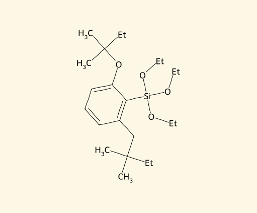 CCO[Si](OCC)(OCC)c1c(CC(C)(C)CC)cccc1OC(C)(C)CC